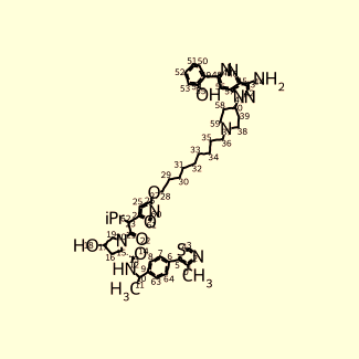 Cc1ncsc1-c1ccc(C(C)NC(=O)[C@@H]2C[C@@H](O)CN2C(=O)C(c2cc(OCCCCCCCCCN3CCC(n4nc(N)c5nnc(-c6ccccc6O)cc54)CC3)no2)C(C)C)cc1